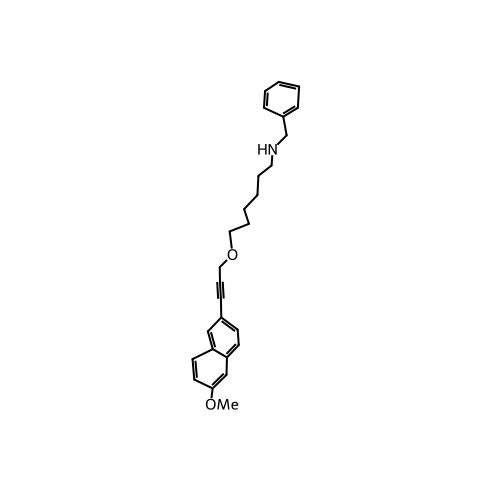 COc1ccc2cc(C#CCOCCCCCCNCc3ccccc3)ccc2c1